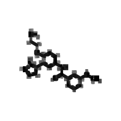 COc1cccc(C(=O)Nc2ccc(OCCN)c(-c3ccn[nH]3)c2)c1